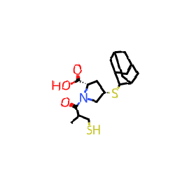 CC(CS)C(=O)N1C[C@@H](SC2C3CC4CC(C3)CC2C4)C[C@H]1C(=O)O